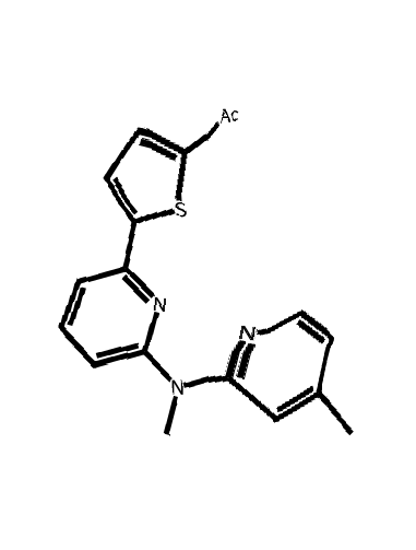 CC(=O)c1ccc(-c2cccc(N(C)c3cc(C)ccn3)n2)s1